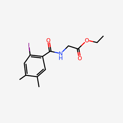 CCOC(=O)CNC(=O)c1cc(C)c(C)cc1I